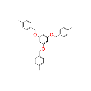 Cc1ccc(COc2cc(OCc3ccc(C)cc3)cc(OCc3ccc(C)cc3)c2)cc1